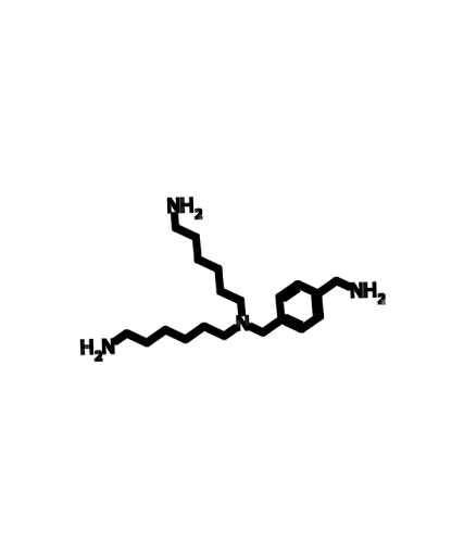 NCCCCCCN(CCCCCCN)Cc1ccc(CN)cc1